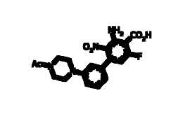 CC(=O)N1CCN(c2cccc(-c3cc(F)c(C(=O)O)c(N)c3[N+](=O)[O-])c2)CC1